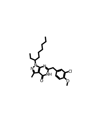 CCCCCCC(CC)n1nc(C)c2c(=O)[nH]c(Cc3ccc(OC)c(Cl)c3)nc21